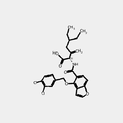 C=C(CC(CC)CC)[C@H](NC(=O)c1ccc2occc2c1OCc1ccc(Cl)c(Cl)c1)C(=O)O